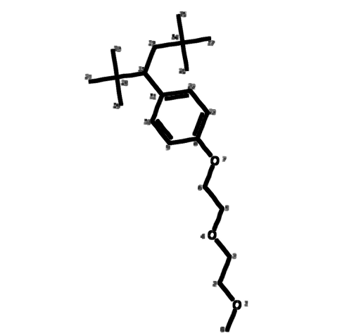 COCCOCCOc1ccc(C(CC(C)(C)C)C(C)(C)C)cc1